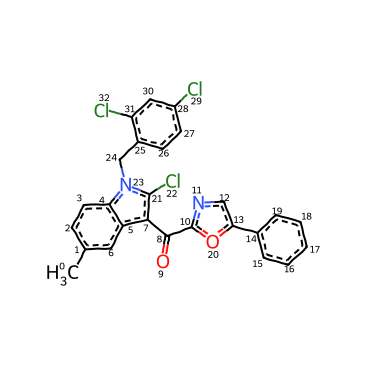 Cc1ccc2c(c1)c(C(=O)c1ncc(-c3ccccc3)o1)c(Cl)n2Cc1ccc(Cl)cc1Cl